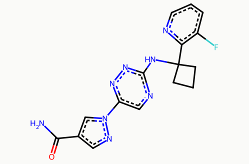 NC(=O)c1cnn(-c2cnc(NC3(c4ncccc4F)CCC3)nn2)c1